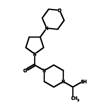 CC(S)N1CCN(C(=O)N2CCC(N3CCOCC3)C2)CC1